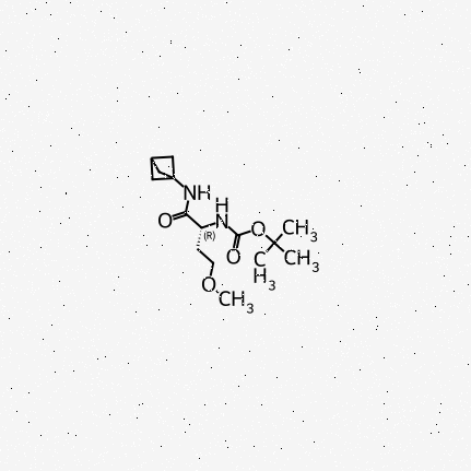 COCC[C@@H](NC(=O)OC(C)(C)C)C(=O)NC12CC(C1)C2